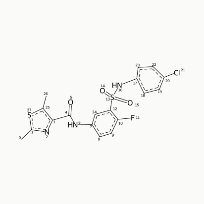 Cc1nc(C(=O)Nc2ccc(F)c(S(=O)(=O)Nc3ccc(Cl)cc3)c2)c(C)s1